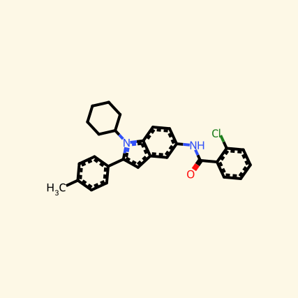 Cc1ccc(-c2cc3cc(NC(=O)c4ccccc4Cl)ccc3n2C2CCCCC2)cc1